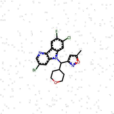 Cc1cc(C(C2CCOCC2)n2c3cc(Cl)c(F)cc3c3ncc(Br)cc32)no1